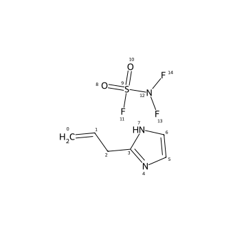 C=CCc1ncc[nH]1.O=S(=O)(F)N(F)F